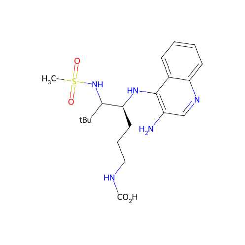 CC(C)(C)C(NS(C)(=O)=O)[C@H](CCCNC(=O)O)Nc1c(N)cnc2ccccc12